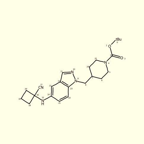 CC(C)(C)OC(=O)N1CCC(Cn2ncc3cc(NC4(C#N)CCC4)ccc32)CC1